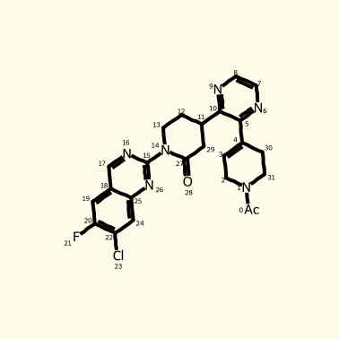 CC(=O)N1CC=C(c2nccnc2C2CCN(c3ncc4cc(F)c(Cl)cc4n3)C(=O)C2)CC1